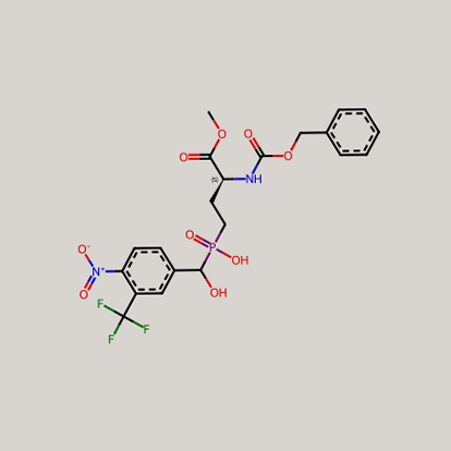 COC(=O)[C@H](CCP(=O)(O)C(O)c1ccc([N+](=O)[O-])c(C(F)(F)F)c1)NC(=O)OCc1ccccc1